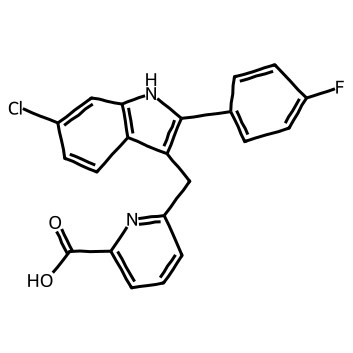 O=C(O)c1cccc(Cc2c(-c3ccc(F)cc3)[nH]c3cc(Cl)ccc23)n1